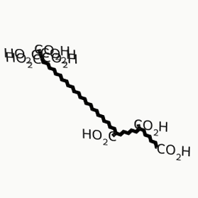 O=C(O)CCCCCCC(CCCCCC(CCCCCCCCCCCCCCCCCCCCCCCCC(C(=O)O)(C(=O)O)C(C(=O)O)(C(=O)O)C(=O)O)C(=O)O)C(=O)O